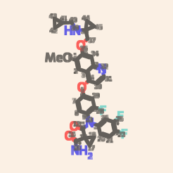 COc1cc2c(Oc3ccc(N(C(=O)C4(C(N)=O)CC4)c4ccc(F)c(F)c4)c(F)c3)ccnc2cc1OCC1(NCC2CC2)CC1